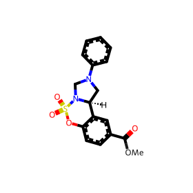 COC(=O)c1ccc2c(c1)[C@@H]1CN(c3ccccc3)CN1S(=O)(=O)O2